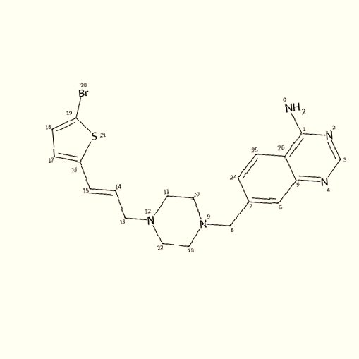 Nc1ncnc2cc(CN3CCN(CC=Cc4ccc(Br)s4)CC3)ccc12